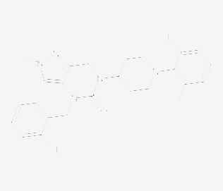 CCn1cc2c(n1)CN(C1CCN(c3c(C)cccc3F)CC1)C(=O)N2Cc1ccccc1C(F)(F)F